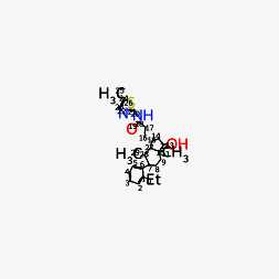 CCc1ccccc1C1CC[C@]2(C)C(O)C[C@@H](CCC(=O)Nc3ncc(C)s3)C2C1C